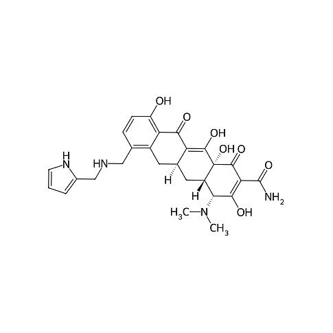 CN(C)[C@H]1C(O)=C(C(N)=O)C(=O)[C@]2(O)C(O)=C3C(=O)c4c(O)ccc(CNCc5ccc[nH]5)c4C[C@@H]3C[C@@H]12